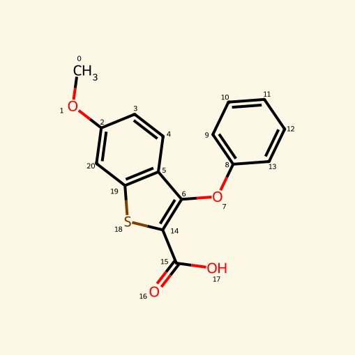 COc1ccc2c(Oc3ccccc3)c(C(=O)O)sc2c1